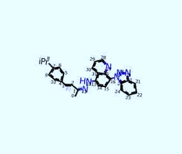 CC(/C=C/c1ccc(C(C)C)cc1)=N/Nc1ccc(-n2nnc3ccccc32)c2ncccc12